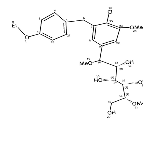 CCOc1ccc(Cc2cc(C(OC)[C@H](O)[C@@H](O)[C@H](O)[C@@H](CO)OC)cc(OC)c2Cl)cc1